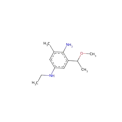 CCNc1cc(C)c(N)c(C(C)OC)c1